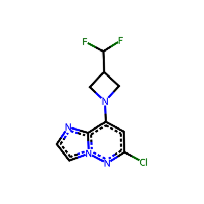 FC(F)C1CN(c2cc(Cl)nn3ccnc23)C1